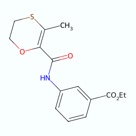 CCOC(=O)c1cccc(NC(=O)C2=C(C)SCCO2)c1